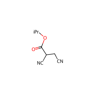 CC(C)OC(=O)C(C#N)CC#N